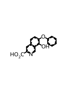 O=C(O)c1cc2ccc(Oc3ccccc3)c(O)c2cn1